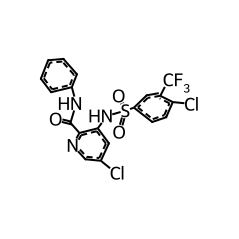 O=C(Nc1ccccc1)c1ncc(Cl)cc1NS(=O)(=O)c1ccc(Cl)c(C(F)(F)F)c1